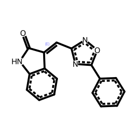 O=C1Nc2ccccc2/C1=C\c1noc(-c2ccccc2)n1